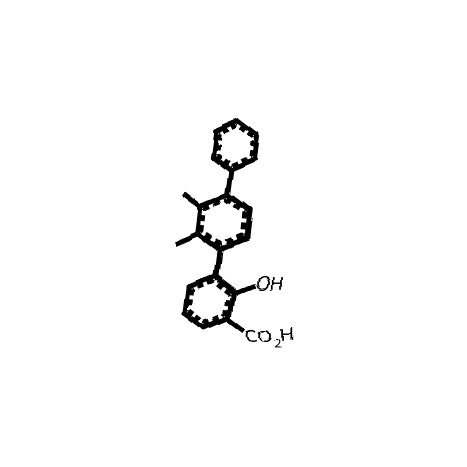 Cc1c(-c2ccccc2)ccc(-c2cccc(C(=O)O)c2O)c1C